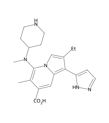 CCc1cn2c(N(C)C3CCNCC3)c(C)c(C(=O)O)cc2c1-c1ccn[nH]1